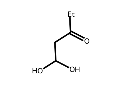 CCC(=O)CC(O)O